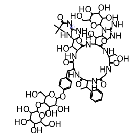 CC(c1ccccc1)C1NC(=O)CNC(=O)C(CO)NC(=O)C(C(O)C2CNC(=N)N2C2OC(CO)C(O)C(O)C2O)NC(=O)C(C(O)C2CN/C(=N/C(=O)C(C)(C)C)N2)NC(=O)C(Cc2ccc(OC3OC(CO)C(OC4OC(CO)C(O)C(O)C4O)C(O)C3O)cc2)NC1=O